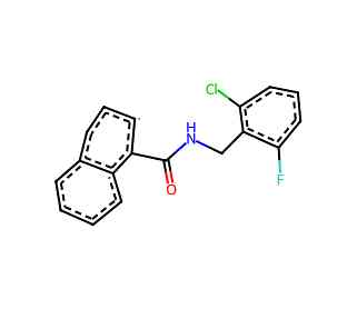 O=C(NCc1c(F)cccc1Cl)c1[c]ccc2ccccc12